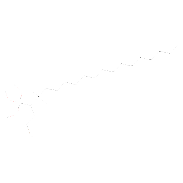 CCCCCCCCCCCCCCCC(C)(C)C(CCBr)[Si](OC)(OC)OC